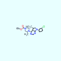 CC1CN(C(=O)OC(C)(C)C)CCN1c1ncnc2c1c(C(=O)O)cn2-c1cccc(Cl)c1